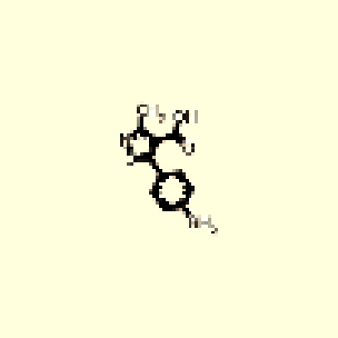 Bc1ccc(-c2onc(C)c2C(=O)O)cc1